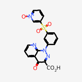 O=C(O)c1nn(-c2cccc(S(=O)(=O)c3ccc[n+]([O-])c3)c2)c2ncccc2c1=O